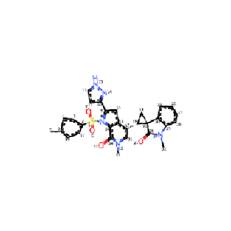 Cc1ccc(S(=O)(=O)n2c(-c3cc[nH]n3)cc3c([C@@H]4C[C@@]45C(=O)N(C)c4ccccc45)cn(C)c(=O)c32)cc1